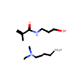 C=C(C)C(=O)NCCCO.CN(C)CCCS(=O)(=O)O